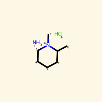 CC1CCCCN1C.Cl.N